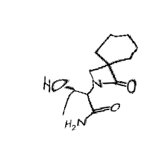 CC(O)C(C(N)=O)N1CC2(CCCCC2)C1=O